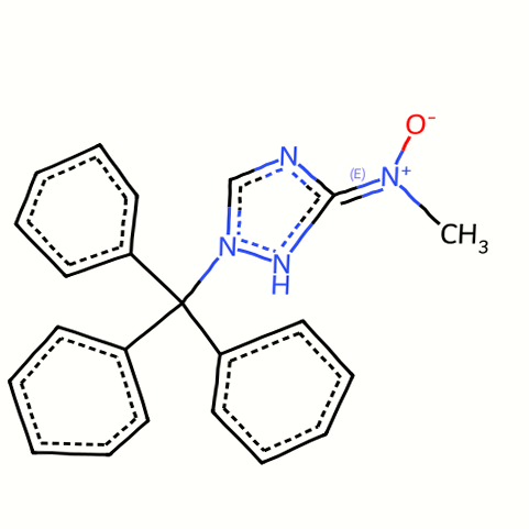 C/[N+]([O-])=c1/ncn(C(c2ccccc2)(c2ccccc2)c2ccccc2)[nH]1